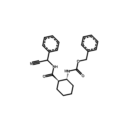 N#CC(NC(=O)[C@@H]1CCCC[C@H]1NC(=O)OCc1ccccc1)c1ccccc1